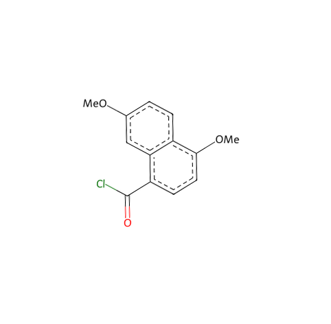 COc1ccc2c(OC)ccc(C(=O)Cl)c2c1